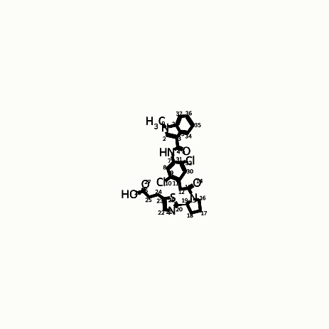 Cn1cc(C(=O)Nc2cc(Cl)c(CC(=O)N3CCC[C@H]3c3ncc(CCC(=O)O)s3)cc2Cl)c2ccccc21